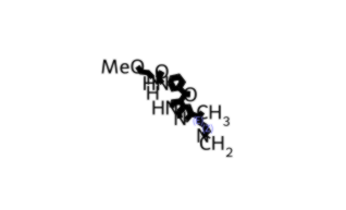 C=N/C=C\C=C(/C)c1cnc2[nH]cc(C(=O)c3cccc(NC(=O)NCCOC)c3)c2c1